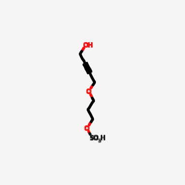 O=S(=O)(O)OCCCOCC#CCO